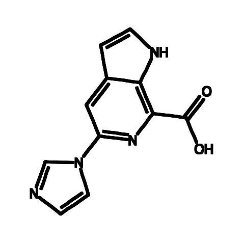 O=C(O)c1nc(-n2ccnc2)cc2cc[nH]c12